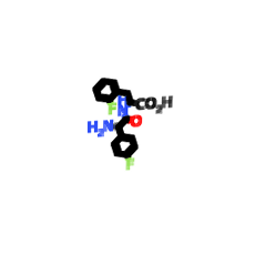 N[C@H](C(=O)NC(Cc1ccccc1F)C(=O)O)c1ccc(F)cc1